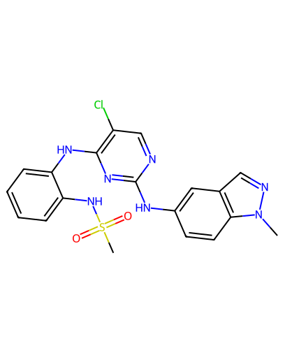 Cn1ncc2cc(Nc3ncc(Cl)c(Nc4ccccc4NS(C)(=O)=O)n3)ccc21